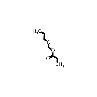 CCCOCOC(=O)CC